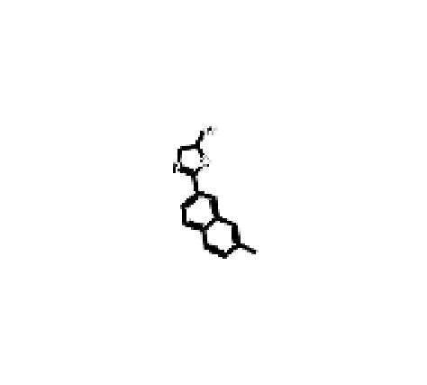 Cc1ccc2ccc(C3=NCC(C(C)C)O3)cc2c1